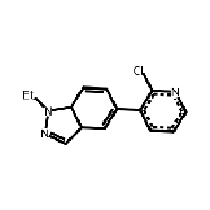 CCN1N=CC2C=C(c3cccnc3Cl)C=CC21